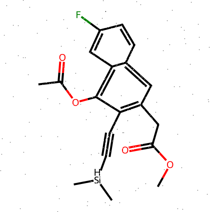 COC(=O)Cc1cc2ccc(F)cc2c(OC(C)=O)c1C#C[SiH](C)C